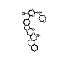 O=C1c2cc(-c3nc(NC4CCOCC4)ncc3Cl)ccc2CN1CC(=O)N1CCc2ccccc2C1CO